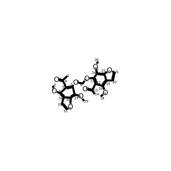 COc1c(C(C)=O)c(OCOc2c(C(C)=O)c(OC)c3ccoc3c2OC)c(OC)c2occc12